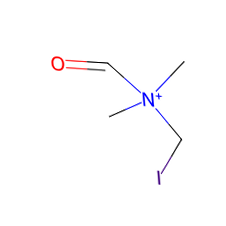 C[N+](C)(C=O)CI